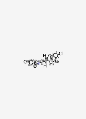 COc1ccc(Cl)cc1C(=O)N1CCC(C(=O)NCC/C=C/S(=O)(=O)c2ccc(Cl)cc2)C1